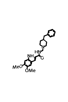 COc1cc(N)c(/C=C/C(=O)NCN2CCC(Cc3ccccc3)CC2)cc1OC